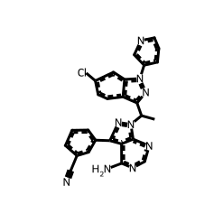 CC(c1nn(-c2cccnc2)c2cc(Cl)ccc12)n1nc(-c2cccc(C#N)c2)c2c(N)ncnc21